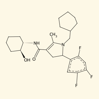 CC1=C(C(=O)N[C@H]2CCCC[C@@H]2O)CC(c2cc(F)c(F)cc2F)N1CC1CCCCC1